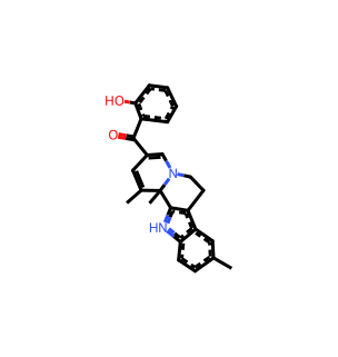 CC1=CC(C(=O)c2ccccc2O)=CN2CCc3c([nH]c4ccc(C)cc34)C12C